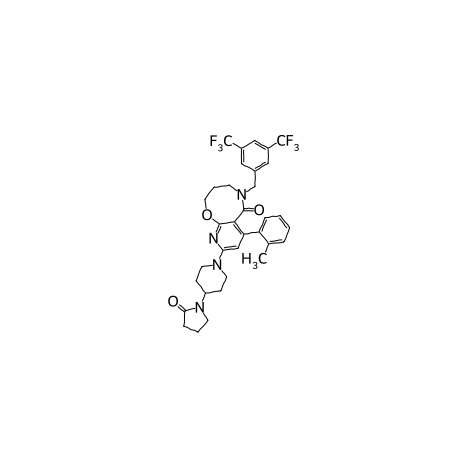 Cc1ccccc1-c1cc(N2CCC(N3CCCC3=O)CC2)nc2c1C(=O)N(Cc1cc(C(F)(F)F)cc(C(F)(F)F)c1)CCCO2